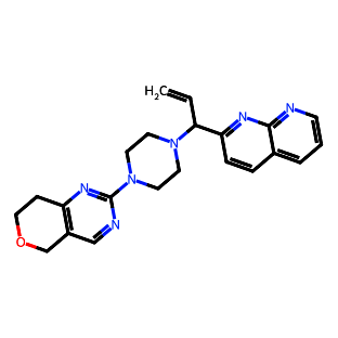 C=CC(c1ccc2cccnc2n1)N1CCN(c2ncc3c(n2)CCOC3)CC1